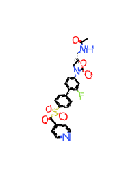 CC(=O)NC[C@H]1CN(c2ccc(-c3ccc(S(=O)(=O)C(=O)c4ccncc4)cc3)c(F)c2)C(=O)O1